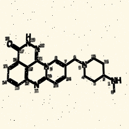 CNC1CCN(CC2=CN3C(=Nc4cccc5c(=O)[nH]nc3c45)C=C2)CC1